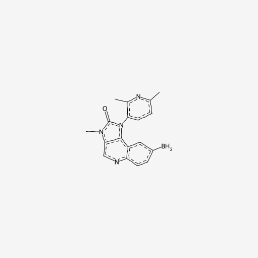 Bc1ccc2ncc3c(c2c1)n(-c1ccc(C)nc1C)c(=O)n3C